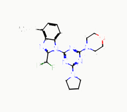 COc1cccc2c1nc(C(F)F)n2-c1nc(N2CCCC2)nc(N2CCOCC2)n1